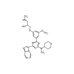 CNCC(O)COc1cc(OC)cc(-c2nc(-c3cnc4cnccn34)cc(N(C)C3CCOCC3)n2)c1